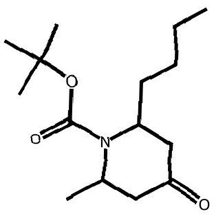 CCCCC1CC(=O)CC(C)N1C(=O)OC(C)(C)C